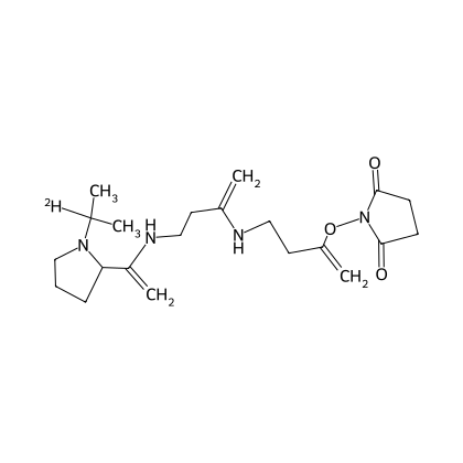 [2H]C(C)(C)N1CCCC1C(=C)NCCC(=C)NCCC(=C)ON1C(=O)CCC1=O